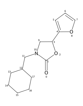 O=C1OC(c2ccco2)CN1CC1CCCCC1